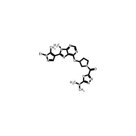 CCn1ncc(-c2nc3c(OC4CCN(C(=O)c5nnc(N(C)C)o5)C4)ncnc3n2C)c1C